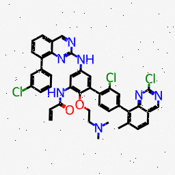 C=CC(=O)Nc1cc(Nc2ncc3cccc(-c4cccc(Cl)c4)c3n2)cc(-c2ccc(-c3c(C)ccc4cnc(Cl)nc34)cc2Cl)c1OCCN(C)C